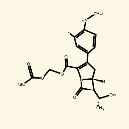 C[C@@H](O)[C@H]1C(=O)N2C(C(=O)OCOC(=O)C(C)(C)C)=C(c3ccc(NC=O)c(F)c3)C[C@H]12